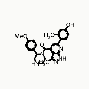 COc1ccc(C2CNCCN2C(=O)c2cc(-c3ccc(O)cc3C)nc3[nH]nc(C)c23)cc1